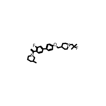 C=C(c1ccc(-c2ccc(OCC3CCN(CC(C)(C)F)CC3)cc2)cc1F)N1CCCC(C)C1